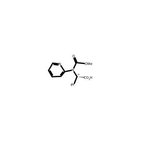 COC(=O)N(c1ccccn1)[C@H](C(=O)O)C(C)C